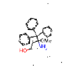 COC(N)(CCO)C(c1ccccc1)(c1ccccc1)c1ccccc1